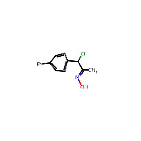 CCc1ccc(C(Cl)C(C)=NO)cc1